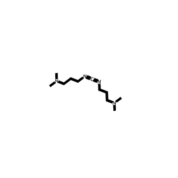 CN(C)CCCN=C=NCCCN(C)C